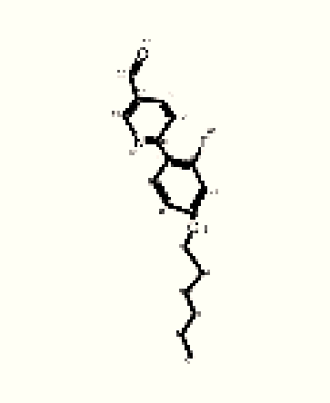 CCCCCCOc1ccc(-c2ccc(C=O)cn2)c(F)c1